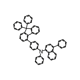 c1ccc(-c2ccc(N(c3ccccc3)c3ccc(-c4cccc5c4-c4ccccc4C5(c4ccccc4)c4ccccc4)cc3)c3ccccc23)cc1